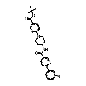 CC(C)(C)OC(=O)c1ccc(N2CCC(NC(=O)c3ccc(-c4cccc(F)c4)nc3)CC2)nc1